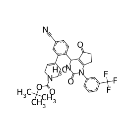 CN1C(=O)N(c2cccc(C(F)(F)F)c2)C2=C(C(=O)CC2)C1c1ccc(C#N)cc1C1=CCN(C(=O)OC(C)(C)C)CC1